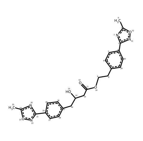 Cc1nc(-c2ccc(CCOC(=O)CC(O)Cc3ccc(-c4noc(C)n4)cc3)cc2)no1